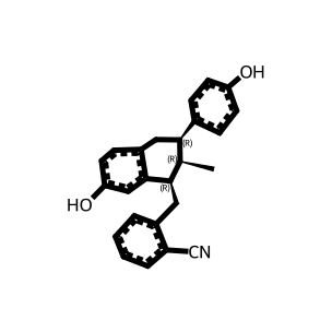 C[C@@H]1[C@H](c2ccc(O)cc2)Cc2ccc(O)cc2[C@@H]1Cc1ccccc1C#N